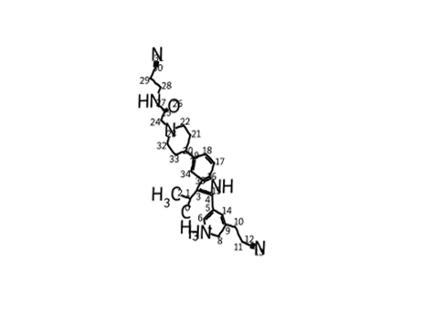 CC(C)c1c(C2=CNCC(CCC#N)=C2)[nH]c2ccc(C3CCN(CC(=O)NCCC#N)CC3)cc12